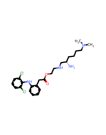 CN(C)CCCC[C@H](N)CNCCOC(=O)Cc1ccccc1Nc1c(Cl)cccc1Cl